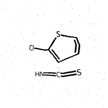 Clc1cccs1.N=C=S